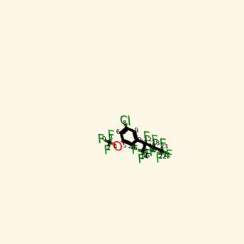 FC(F)(F)Oc1[c]c(Cl)cc(C(F)(C(F)(F)F)C(F)(F)C(F)(F)F)c1